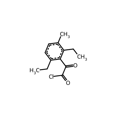 CCc1ccc(C)c(CC)c1C(=O)C(=O)Cl